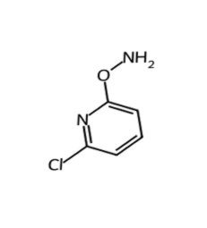 NOc1cccc(Cl)n1